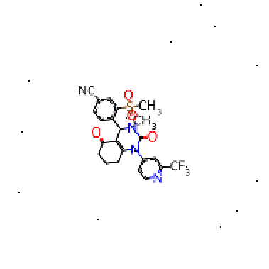 CN1C(=O)N(c2ccnc(C(F)(F)F)c2)C2=C(C(=O)CCC2)C1c1ccc(C#N)cc1S(C)(=O)=O